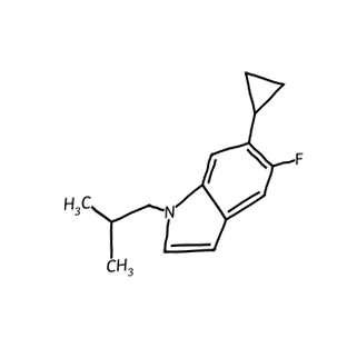 CC(C)Cn1ccc2cc(F)c(C3CC3)cc21